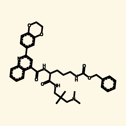 CN(C)CC(C)(C)CNC(=O)C(CCCNC(=O)OCc1ccccc1)NC(=O)c1cc(-c2ccc3c(c2)OCCO3)nc2ccccc12